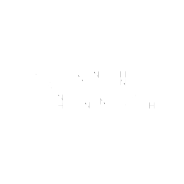 CS(=O)(=O)Nc1nnc(NS(C)(=O)=O)nn1